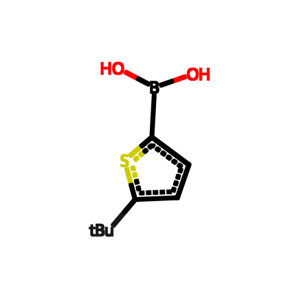 CC(C)(C)c1ccc(B(O)O)s1